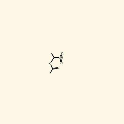 CC(=O)OC(C)[SH](=O)=O